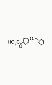 O=C(O)C(=O)c1ccc(OCCc2ccccc2)cc1